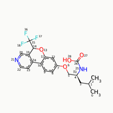 CC(C)C[C@@H](COc1ccc2c(c1)OC(C(F)(F)F)c1cnccc1-2)NC(=O)O